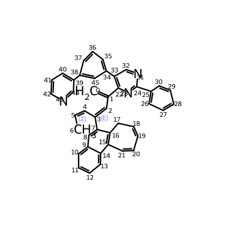 C=C(/C=C(\C=C/C)c1cc2ccccc2c2c1CC=CC=C2)c1nc(-c2ccccc2)ncc1-c1cccc(-c2cccnc2)c1